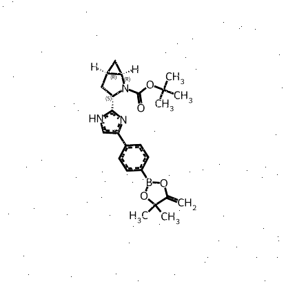 C=C1OB(c2ccc(-c3c[nH]c([C@@H]4C[C@H]5C[C@H]5N4C(=O)OC(C)(C)C)n3)cc2)OC1(C)C